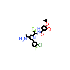 COc1cc(C(=O)NCC(c2cc(C(C)N)cc(-c3ccc(F)c(Cl)c3)n2)C(F)(F)F)ccc1OC1CC1